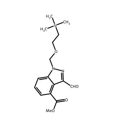 COC(=O)c1cccc2c1c(C=O)nn2COCC[Si](C)(C)C